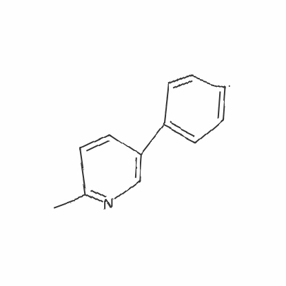 Cc1ccc(-c2cc[c]cc2)cn1